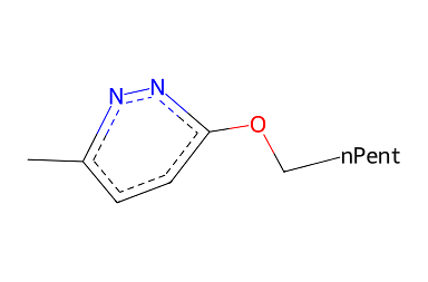 CCCCCCOc1ccc(C)nn1